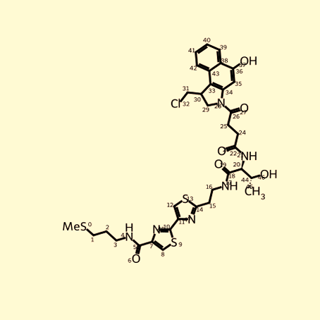 CSCCCNC(=O)c1csc(-c2csc(CCNC(=O)[C@@H](NC(=O)CCC(=O)N3CC(CCl)c4c3cc(O)c3ccccc43)[C@@H](C)O)n2)n1